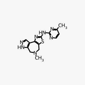 Cc1ccnc(Nc2nc3c(s2)CN(C)Cc2[nH]ncc2-3)n1